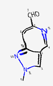 Cn1cc2cnc(C=O)cc2n1